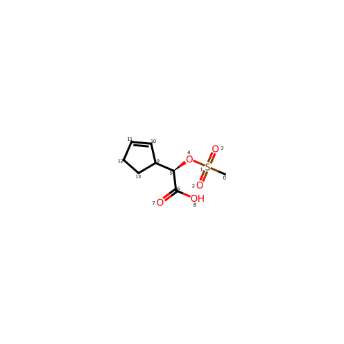 CS(=O)(=O)O[C@@H](C(=O)O)C1C=CCC1